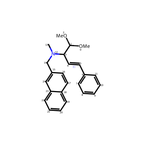 COC(OC)C(/C=C/c1ccccc1)N(C)Cc1ccc2ccccc2c1